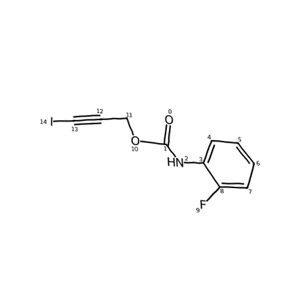 O=C(Nc1ccccc1F)OCC#CI